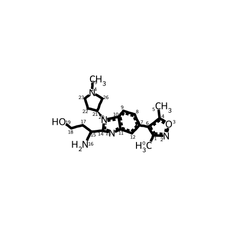 Cc1noc(C)c1-c1ccc2c(c1)nc(C(N)CCO)n2[C@H]1CCN(C)C1